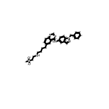 CS(=O)(=O)CCNCCCCc1ccc2ncnc(Nc3ccc4c(cnn4Cc4ccccc4)c3)c2c1